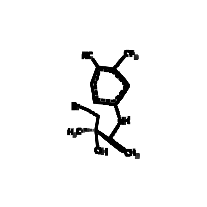 C=C(Nc1ccc(C#N)c(C(F)(F)F)c1)[C@@](C)(O)CBr